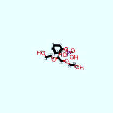 O=P(O)(O)Oc1ccccc1.OCCOCCOCCO